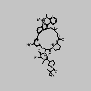 CCn1c(-c2cccnc2[C@H](C)OC)c2c3cc(ccc31)-c1cc(O)cc(c1)C[C@H](NC(=O)C(C(C)C)N(C)C(=O)[C@H]1CCN(C(=O)C3(C)CO3)C1)C(=O)N1CCC[C@H](N1)C(=O)OCC(C)(C)C2